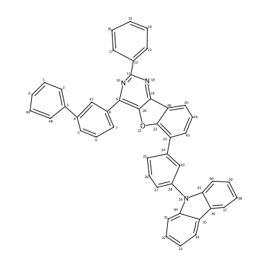 c1ccc(-c2cccc(-c3nc(-c4ccccc4)nc4c3oc3c(-c5cccc(-n6c7ccccc7c7ccccc76)c5)cccc34)c2)cc1